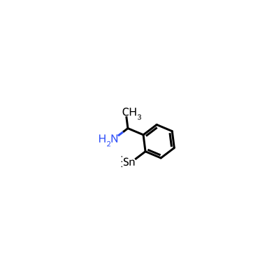 CC(N)c1cccc[c]1[Sn]